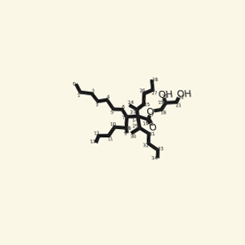 CCCCCCCC(C(C)CCCC)C(C(=O)OCC(O)CO)(C(C)CCCC)C(C)CCCC